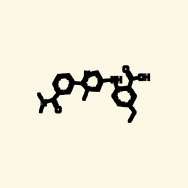 CCc1ccc(Nc2cnc(-c3cccc(C(=O)N(C)C)c3)c(C)c2)c(C(=O)O)c1